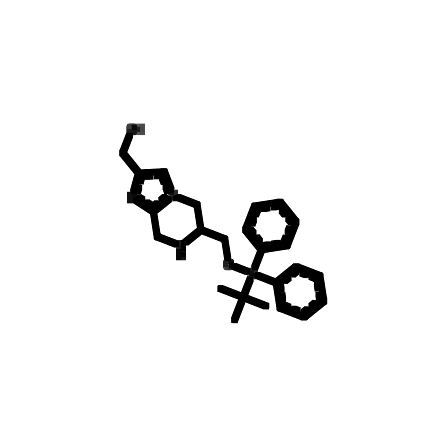 CC(C)(C)[Si](OCC1Cn2cc(CO)nc2CN1)(c1ccccc1)c1ccccc1